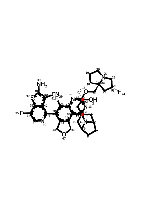 C[C@H](O)CN1CC2CCC(C1)N2c1nc(OC[C@@]23CCCN2C[C@H](F)C3)nc2c(F)c(-c3ncc(F)c4sc(N)c(C#N)c34)c3c(c12)COC3